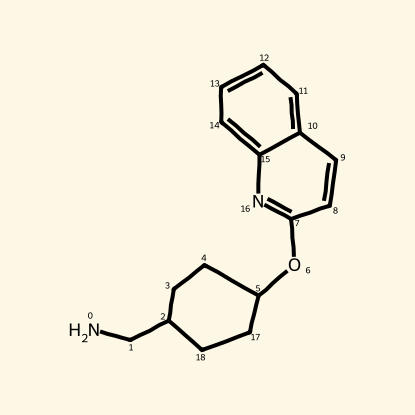 NCC1CCC(Oc2ccc3ccccc3n2)CC1